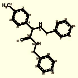 Cc1ccc(C(NCc2ccncc2)C(=O)NCc2ccncc2)cc1